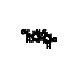 Cc1cc(=O)[nH]nc1-c1ccc(NC=O)cc1